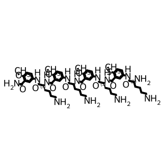 COc1ccc(NC(=O)[C@H](CCCCN)NC(=O)c2cc(NC(=O)C(CCCCN)NC(=O)c3cc(NC(=O)[C@H](CCCCN)NC(=O)c4cc(NC(=O)[C@@H](N)CCCCN)ccc4SC)ccc3OC)ccc2OC)cc1C(N)=O